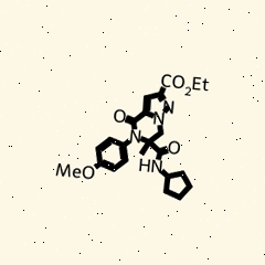 CCOC(=O)c1cc2n(n1)CC(C)(C(=O)NC1CCCC1)N(c1ccc(OC)cc1)C2=O